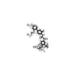 CCOc1cc(C)ncc1-c1ccc(CC(=O)Nc2ccc(CC(C)(C)CO)c(C(F)(F)F)c2)c(F)c1